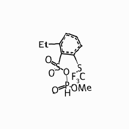 CCc1cccc(SC(F)(F)F)c1S(=O)(=O)O[PH](=O)OC